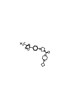 Cc1noc(-c2ccc(N3CC[C@@H](C(=O)N4CCN(C5CCC5)CC4)C3)cc2)n1